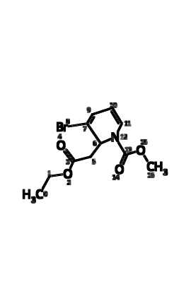 CCOC(=O)CC1C(Br)=CC=CN1C(=O)OC